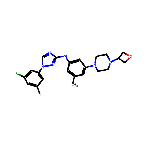 CCc1cc(F)cc(-n2cnc(Nc3cc(C)cc(N4CCN(C5COC5)CC4)c3)n2)c1